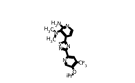 CC(C)Oc1cnc(-c2nsc(-c3ccnc(N)c3N(C)C)n2)cc1C(F)(F)F